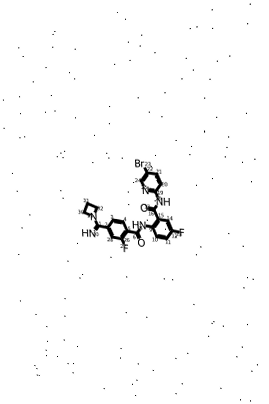 N=C(c1ccc(C(=O)Nc2ccc(F)cc2C(=O)Nc2ccc(Br)cn2)c(F)c1)N1CCC1